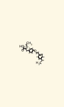 CCO[C@@H](Cc1ccc(OCCc2ccc(CC)cn2)cc1)C(=O)O